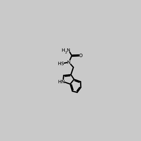 NC(=O)N(S)Cc1c[nH]c2ccccc12